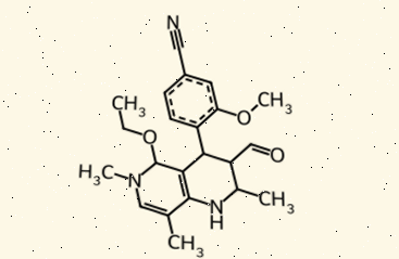 CCOC1C2=C(NC(C)C(C=O)C2c2ccc(C#N)cc2OC)C(C)=CN1C